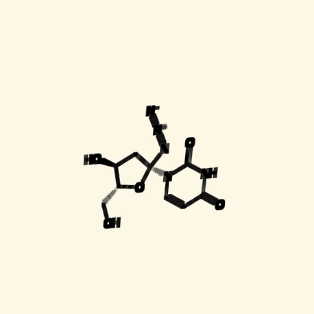 [N-]=[N+]=N[C@]1(n2ccc(=O)[nH]c2=O)C[C@H](O)[C@@H](CO)O1